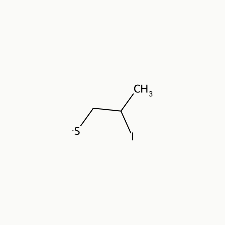 CC(I)C[S]